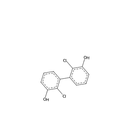 Oc1cccc(-c2cccc(O)c2Cl)c1Cl